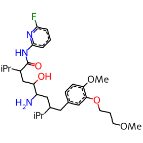 COCCCOc1cc(CC(CC(N)C(O)CC(C(=O)Nc2cccc(F)n2)C(C)C)C(C)C)ccc1OC